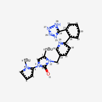 CCCCc1cn(-c2cccn2C(C)(C)C)c(=O)n1Cc1ccc(-c2ccccc2-c2nnn[nH]2)nc1